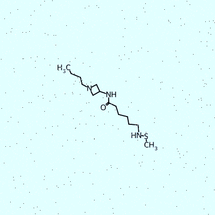 CCCCN1CC(NC(=O)CCCCCNSC)C1